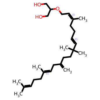 C=C(C/C=C(\C)CCC=C(C)C)CCC(C)(C)/C=C/CC/C(C)=C\COC(CO)CO